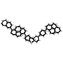 C1=Cc2cc(-c3ccc4ccc5c(-c6ccc7sc8c(c7c6)CC(c6ccc(-c7ccc9ccc%10cccc%11ccc7c9c%10%11)cc6)C=C8)ccc6ccc3c4c65)ccc2CC1